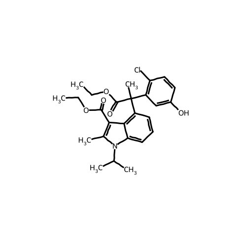 CCOC(=O)c1c(C)n(C(C)C)c2cccc(C(C)(C(=O)OCC)c3cc(O)ccc3Cl)c12